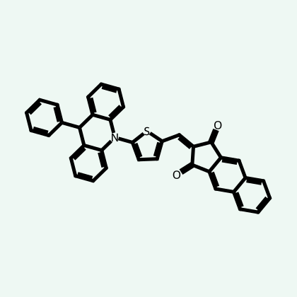 O=C1C(=Cc2ccc(N3c4ccccc4C(c4ccccc4)c4ccccc43)s2)C(=O)c2cc3ccccc3cc21